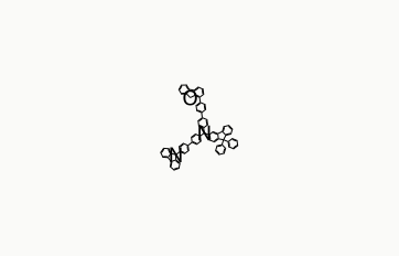 c1ccc(C2(c3ccccc3)c3ccccc3-c3cc(N(c4ccc(-c5ccc(-c6cccc7c6oc6ccccc67)cc5)cc4)c4ccc(-c5ccc(-n6c7ccccc7c7ccccc76)cc5)cc4)ccc32)cc1